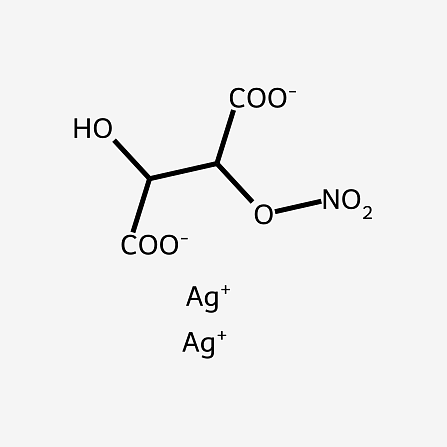 O=C([O-])C(O)C(O[N+](=O)[O-])C(=O)[O-].[Ag+].[Ag+]